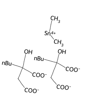 CCCCC(O)(CC(=O)[O-])C(=O)[O-].CCCCC(O)(CC(=O)[O-])C(=O)[O-].[CH3][Sn+4][CH3]